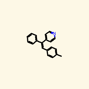 Cc1ccc(C=C(c2ccccc2)c2ccncc2)cc1